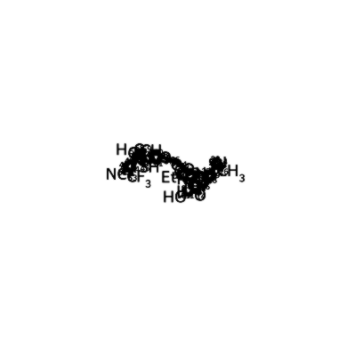 CCC(=O)N[C@H](C(=O)N1C[C@H](O)C[C@H]1C(=O)NCc1ccc(-c2scnc2C)cc1OCCOCCOCCOc1ccc(N2C(S)N(c3ccc(C#N)c(C(F)(F)F)c3)C(=O)C2(C)C)cc1)C(C)(C)C